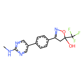 CNc1ncc(-c2ccc(C3=NOC(O)(C(F)(F)F)C3)cc2)cn1